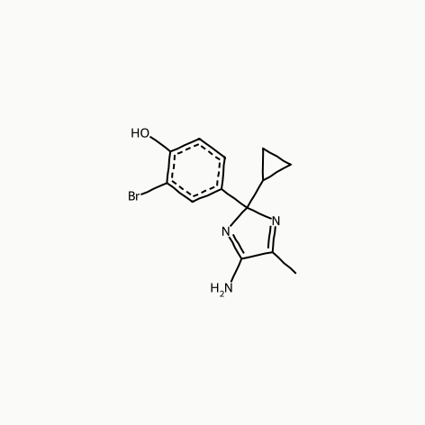 CC1=NC(c2ccc(O)c(Br)c2)(C2CC2)N=C1N